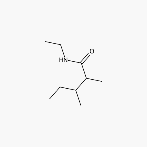 CCNC(=O)C(C)C(C)CC